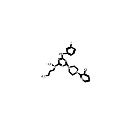 CCCCN(C)c1nc(Nc2cccc(F)c2)nc(N2CCN(c3ncccc3Cl)CC2)n1